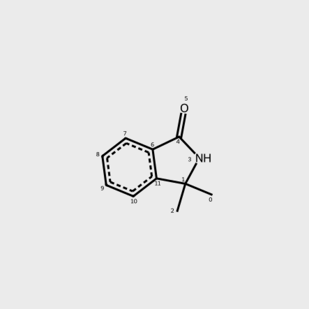 CC1(C)NC(=O)c2ccccc21